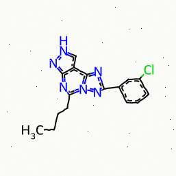 CCCCc1nc2n[nH]cc2c2nc(-c3cccc(Cl)c3)nn12